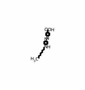 CCCCCCCCCNc1ccc(N=Nc2ccc(C(=O)O)cc2)cc1